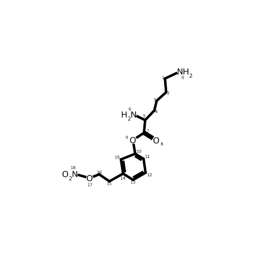 NCCCCC(N)C(=O)Oc1cccc(CCO[N+](=O)[O-])c1